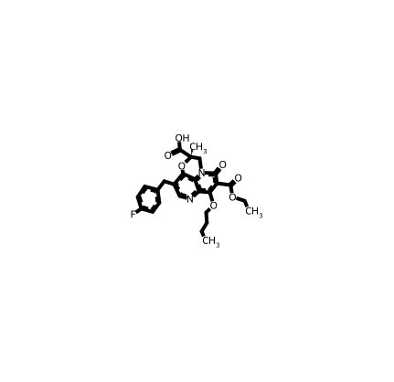 CCCCOc1c(C(=O)OCC)c(=O)n2c3c(c(Cc4ccc(F)cc4)cnc13)O[C@@](C)(C(=O)O)C2